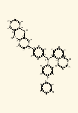 c1ccc(-c2ccc(N(c3ccc(-c4ccc5c(c4)Sc4ccccc4O5)cc3)c3cccc4ccccc34)cc2)cc1